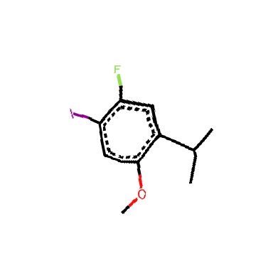 COc1cc(I)c(F)cc1C(C)C